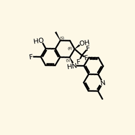 Cc1ccc2c(N[C@H]3c4ccc(F)c(O)c4[C@@H](C)C[C@]3(O)C(F)(F)F)cccc2n1